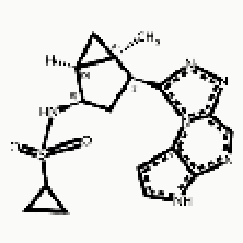 C[C@@]12C[C@@H]1[C@H](NS(=O)(=O)C1CC1)C[C@@H]2c1nnc2cnc3[nH]ccc3n12